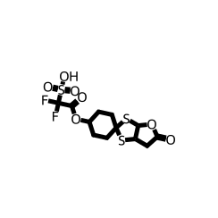 O=C1CC2SC3(CCC(OC(=O)C(F)(F)S(=O)(=O)O)CC3)SC2O1